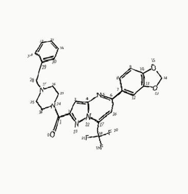 O=C(c1cc2nc(-c3ccc4c(c3)OCO4)cc(C(F)(F)F)n2n1)N1CCN(Cc2ccccc2)CC1